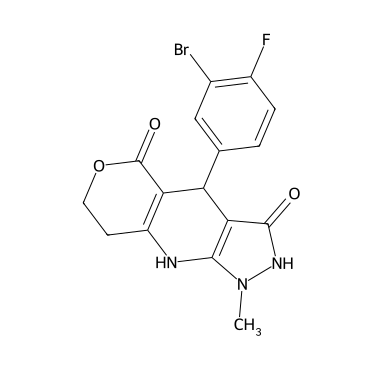 Cn1[nH]c(=O)c2c1NC1=C(C(=O)OCC1)C2c1ccc(F)c(Br)c1